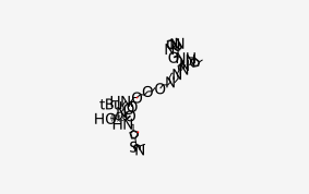 Cc1ccc(-n2nc(N3CCN(CCOCCOCCOCC(=O)NC(C(=O)N4C[C@H](O)C[C@H]4C(=O)NCc4ccc(-c5scnc5C)cc4)C(C)(C)C)CC3)cc2NC(=O)c2cnn3cccnc23)nc1